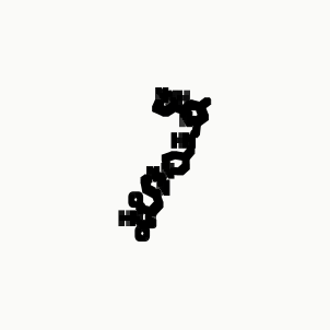 Cc1cc(CNCC2CCN(c3nccc(/C=C4/SC(=O)NC4=O)n3)CC2)nc(-c2ccn[nH]2)c1